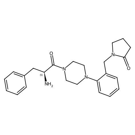 N[C@@H](Cc1ccccc1)C(=O)N1CCN(c2ccccc2CN2CCCC2=O)CC1